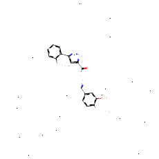 COc1ccc(/C=N/NC(=O)c2cc(-c3ccccc3OC)n[nH]2)cc1O